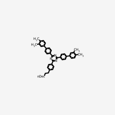 CCCCCCCCCCCCc1ccc(-c2nc(-c3ccc(-c4ccc(C)c(C)c4)cc3)nc(-c3ccc(-c4ccc(C)c(C)c4)cc3)n2)cc1